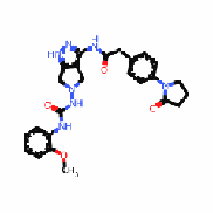 COc1ccccc1NC(=O)NN1Cc2[nH]nc(NC(=O)Cc3ccc(N4CCCC4=O)cc3)c2C1